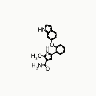 Cc1[nH]c(-c2ccccc2Oc2ccc3cc[nH]c3c2)cc1C(N)=O